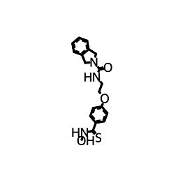 O=C(NCCOc1ccc(C(=S)NO)cc1)N1Cc2ccccc2C1